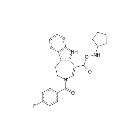 O=C(ONC1CCCC1)C1=CN(C(=O)c2ccc(F)cc2)CCc2c1[nH]c1ccccc21